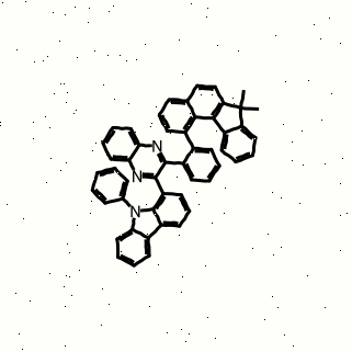 CC1(C)c2ccccc2-c2c1ccc1cccc(-c3ccccc3-c3nc4ccccc4nc3-c3cccc4c5ccccc5n(-c5ccccc5)c34)c21